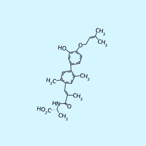 CC(C)=CCOc1ccc(-c2cc(C)c(/C=C(\C)C(=O)N[C@H](C)C(=O)O)cc2C)cc1O